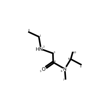 CCNCC(=O)N(C)C(C)C